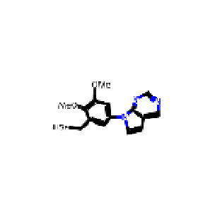 COc1cc(-n2ccc3cncnc32)cc(C[SeH])c1OC